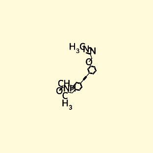 CC(=O)NC(C)Cc1ccc(C#Cc2cccc(OCc3cn(C)cn3)c2)cc1